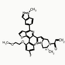 C=CC(=O)N1Cc2cc(-c3nc(-c4ccc5c(cnn5C)c4)c4ccsc4c3-c3c(F)cc(F)cc3OCCOC)nn2C[C@H]1C